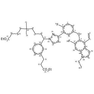 C=Cc1c(Oc2ccc(F)c(-c3ccn(C(CCCC(C)(C)CSCC(=O)OCC)c4cccc(CCC(=O)OCC)c4)n3)c2)c(F)cc2c1ccn2SI